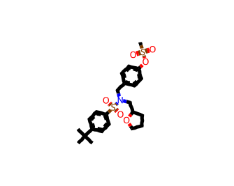 CC(C)(C)c1ccc(S(=O)(=O)N(Cc2ccc(OS(C)(=O)=O)cc2)CC2CCCO2)cc1